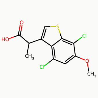 COc1cc(Cl)c2c(C(C)C(=O)O)csc2c1Cl